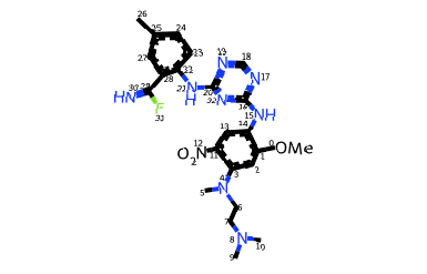 COc1cc(N(C)CCN(C)C)c([N+](=O)[O-])cc1Nc1ncnc(Nc2ccc(C)cc2C(=N)F)n1